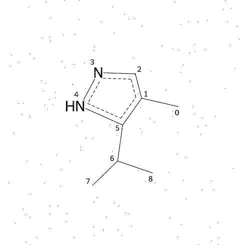 Cc1cn[nH]c1C(C)C